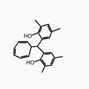 Cc1cc(C)c(O)c(C(c2cc(C)cc(C)c2O)C2C=CC=CC=C2)c1